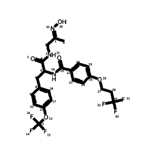 C/C(CNC(=O)C(Cc1ccc(OC(F)(F)F)cc1)NC(=O)c1ccc(OCCC(F)(F)F)cc1)=N\O